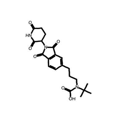 CC(C)(C)N(CCCc1ccc2c(c1)C(=O)N(C1CCC(=O)NC1=O)C2=O)C(=O)O